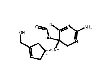 NC1=NCC(NC=O)(N[C@@H]2CC=C(CO)C2)C(Cl)=N1